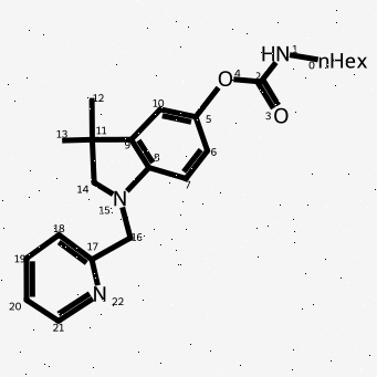 CCCCCCNC(=O)Oc1ccc2c(c1)C(C)(C)CN2Cc1ccccn1